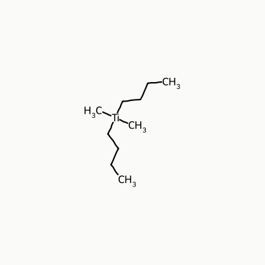 CCC[CH2][Ti]([CH3])([CH3])[CH2]CCC